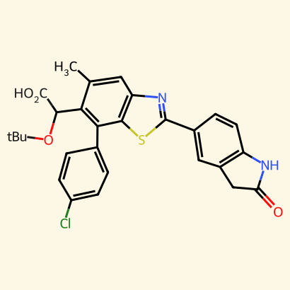 Cc1cc2nc(-c3ccc4c(c3)CC(=O)N4)sc2c(-c2ccc(Cl)cc2)c1C(OC(C)(C)C)C(=O)O